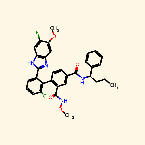 CCC[C@@H](NC(=O)c1ccc(-c2c(Cl)cccc2-c2nc3cc(OC)c(F)cc3[nH]2)c(C(=O)NOC)c1)c1ccccc1